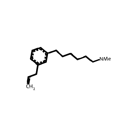 C=CCc1cccc(CCCCCCNC)c1